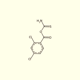 NC(=S)OC(=O)c1ccc(Cl)cc1Cl